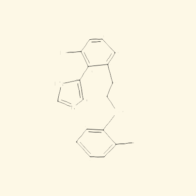 Oc1cccc(CCOc2ccccc2Cl)c1-c1cnc[nH]1